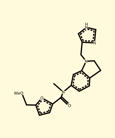 COCc1ccc(C(=O)N(C)c2ccc3c(c2)N(Cc2c[nH]cn2)CC3)o1